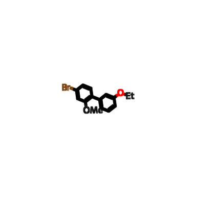 CCOc1cccc(-c2ccc(Br)cc2OC)c1